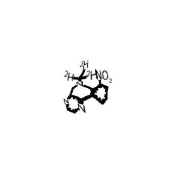 [2H]C([2H])([2H])N1Cc2nccnc2-c2cccc([N+](=O)[O-])c21